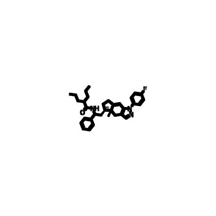 CCCC(CCC)C(=O)NC(C[C@H]1CCC2=Cc3c(cnn3-c3ccc(F)cc3)C[C@@]21C)c1ccccc1